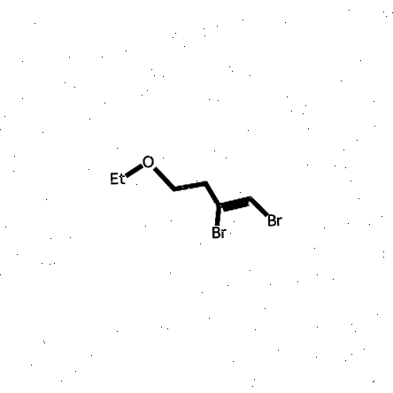 CCOCCC(Br)=CBr